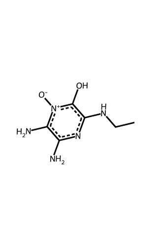 CCNc1nc(N)c(N)[n+]([O-])c1O